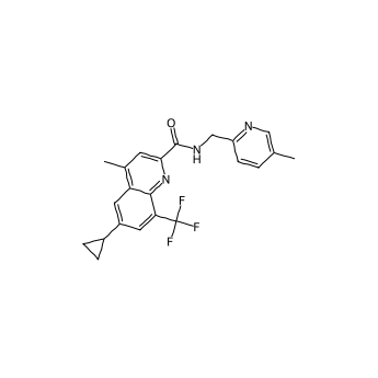 Cc1ccc(CNC(=O)c2cc(C)c3cc(C4CC4)cc(C(F)(F)F)c3n2)nc1